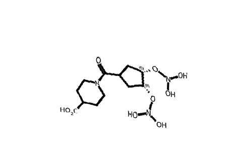 O=C(O)C1CCN(C(=O)C2C[C@H](ON(O)O)[C@H](ON(O)O)C2)CC1